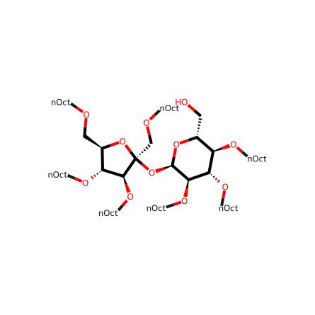 CCCCCCCCOC[C@H]1O[C@@](COCCCCCCCC)(O[C@H]2O[C@H](CO)[C@@H](OCCCCCCCC)[C@H](OCCCCCCCC)[C@H]2OCCCCCCCC)[C@@H](OCCCCCCCC)[C@@H]1OCCCCCCCC